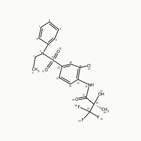 CCN(c1ccccc1)S(=O)(=O)c1ccc(NC(=O)[C@@](C)(O)C(F)(F)F)c(Cl)c1